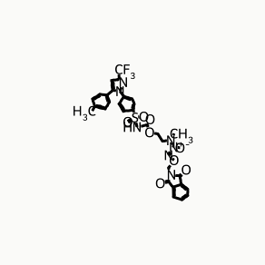 Cc1ccc(-c2cc(C(F)(F)F)nn2-c2ccc(S(=O)(=O)NC(=O)OCCN(C)[N+]([O-])=NOCN3C(=O)c4ccccc4C3=O)cc2)cc1